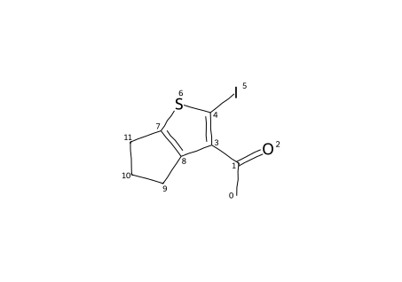 CC(=O)c1c(I)sc2c1CCC2